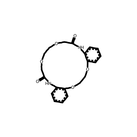 O=C1COCCOCC(=O)Nc2ccccc2OCCOc2ccccc2N1